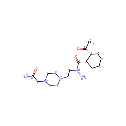 CC(=O)[C@@H]1CCCC[C@@H]1C(=O)N(N)CCN1CCN(CC(N)=O)CC1